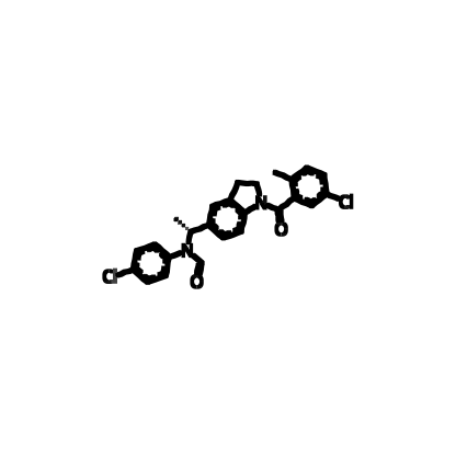 Cc1ccc(Cl)cc1C(=O)N1CCc2cc([C@@H](C)N(C=O)c3ccc(Cl)cc3)ccc21